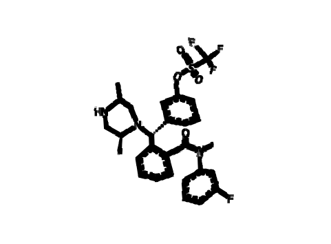 CC1CN([C@H](c2cccc(OS(=O)(=O)C(F)(F)F)c2)c2ccccc2C(=O)N(C)c2cccc(F)c2)[C@@H](C)CN1